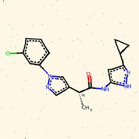 C[C@@H](C(=O)Nc1cc(C2CC2)n[nH]1)c1cnn(-c2cccc(Cl)c2)c1